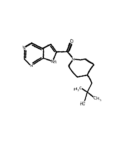 CC(C)(O)CC1CCN(C(=O)c2cc3cncnc3[nH]2)CC1